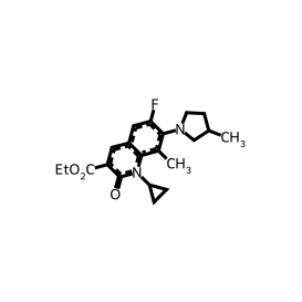 CCOC(=O)c1cc2cc(F)c(N3CCC(C)C3)c(C)c2n(C2CC2)c1=O